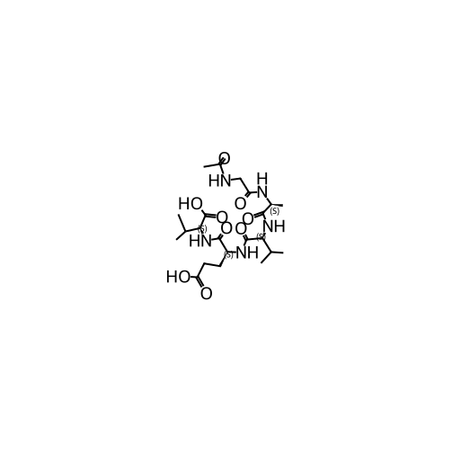 CC(=O)NCC(=O)N[C@@H](C)C(=O)N[C@H](C(=O)N[C@@H](CCC(=O)O)C(=O)N[C@H](C(=O)O)C(C)C)C(C)C